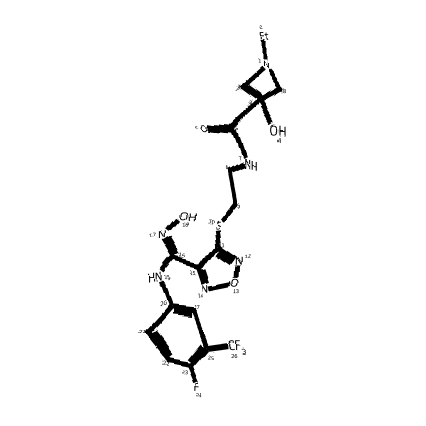 CCN1CC(O)(C(=O)NCCSc2nonc2/C(=N\O)Nc2ccc(F)c(C(F)(F)F)c2)C1